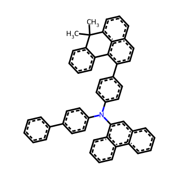 CC1(C)c2ccccc2-c2c(-c3ccc(N(c4ccc(-c5ccccc5)cc4)c4cc5ccccc5c5ccccc45)cc3)ccc3cccc1c23